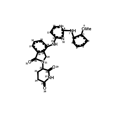 COc1ccccc1Nc1nccc(Nc2cccc3c2CN(C2CCC(=O)NC2=O)C3=O)n1